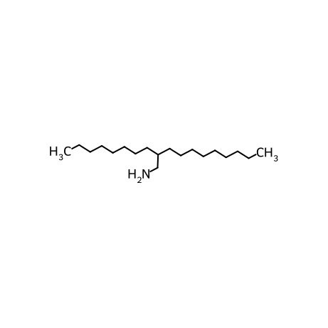 CCCCCCCCCC(CN)CCCCCCCC